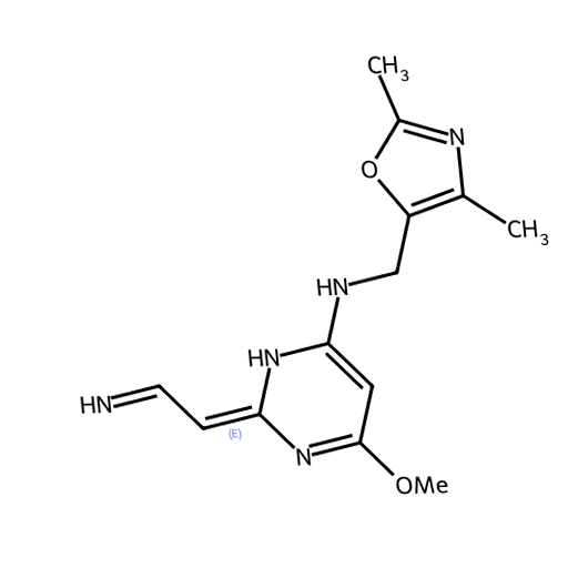 COC1=N/C(=C/C=N)NC(NCc2oc(C)nc2C)=C1